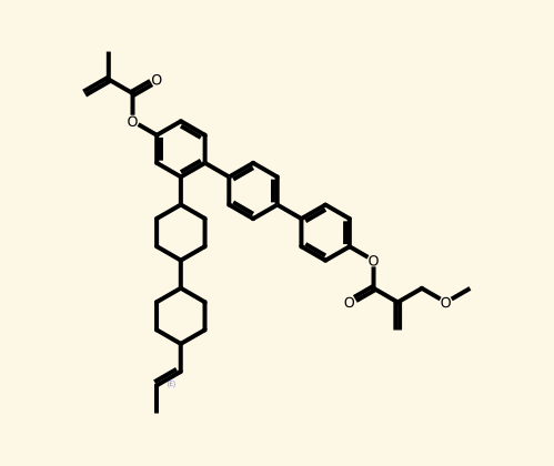 C=C(C)C(=O)Oc1ccc(-c2ccc(-c3ccc(OC(=O)C(=C)COC)cc3)cc2)c(C2CCC(C3CCC(/C=C/C)CC3)CC2)c1